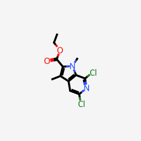 CCOC(=O)c1c(C)c2cc(Cl)nc(Cl)c2n1C